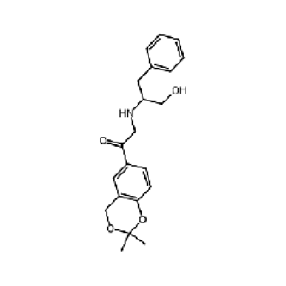 CC1(C)OCc2cc(C(=O)CNC(CO)Cc3ccccc3)ccc2O1